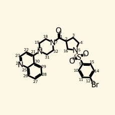 O=C(C1CCN(S(=O)(=O)c2ccc(Br)cc2)C1)N1CCN(c2ccnc3ccccc23)CC1